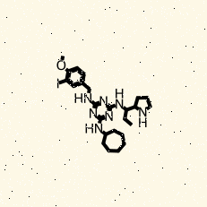 CCC(Nc1nc(NCc2ccc(OC)c(I)c2)nc(NC2CCCCCC2)n1)C1CCCN1